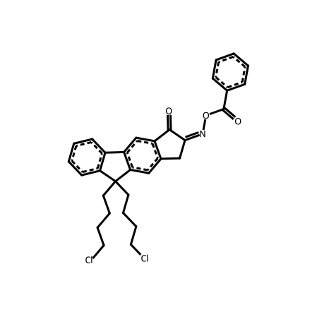 O=C(O/N=C1/Cc2cc3c(cc2C1=O)-c1ccccc1C3(CCCCCl)CCCCCl)c1ccccc1